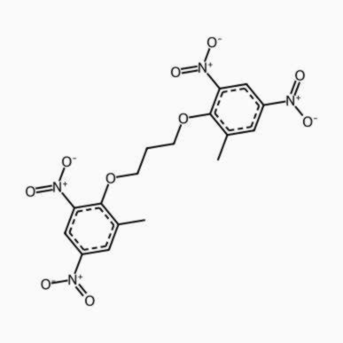 Cc1cc([N+](=O)[O-])cc([N+](=O)[O-])c1OCCCOc1c(C)cc([N+](=O)[O-])cc1[N+](=O)[O-]